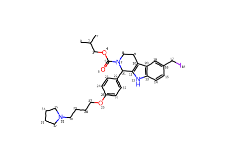 CC(C)COC(=O)N1CCc2c([nH]c3ccc(CI)cc23)C1c1ccc(OCCCCN2CCCC2)cc1